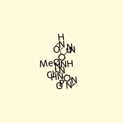 COc1cc(C2CNCCO2)c(-c2cnn(C)c2)cc1Nc1ncc(Cl)c(Nc2ccc3nccnc3c2P(C)(C)=O)n1